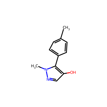 Cc1ccc(-c2c(O)cnn2C)cc1